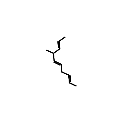 CC=CCC=[C]C(C)C=CC